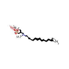 CCCCCCCCCCCCCCN(C)CC(CC)CS(=O)(=O)O